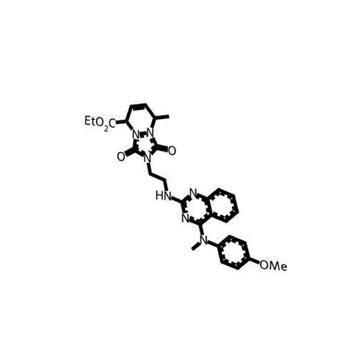 CCOC(=O)C1C=CC(C)n2c(=O)n(CCNc3nc(N(C)c4ccc(OC)cc4)c4ccccc4n3)c(=O)n21